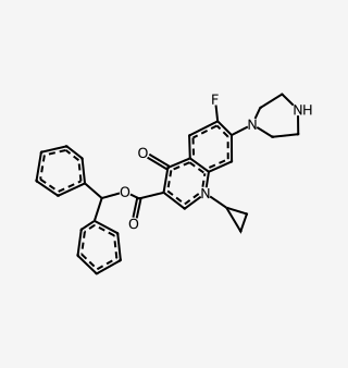 O=C(OC(c1ccccc1)c1ccccc1)c1cn(C2CC2)c2cc(N3CCNCC3)c(F)cc2c1=O